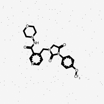 O=C(NN1CCOCC1)c1cnccc1CN1CC(=O)N(c2ccc(OC(F)(F)F)cc2)C1=O